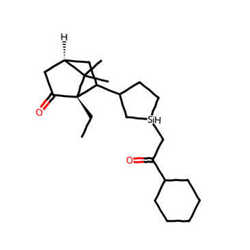 CC[C@]12C(=O)C[C@@H](CC1C1CC[SiH](CC(=O)C3CCCCC3)C1)C2(C)C